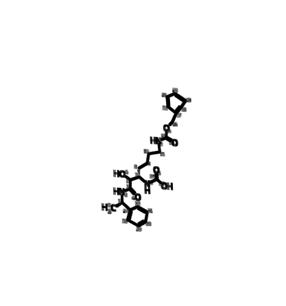 C[C@@H](NC(=O)C(O)[C@H](CCCCNC(=O)OCc1ccccc1)NC(=O)O)c1ccccc1